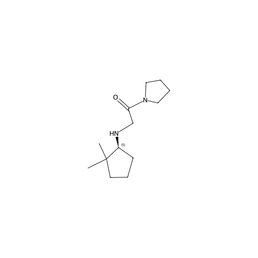 CC1(C)CCC[C@@H]1NCC(=O)N1CCCC1